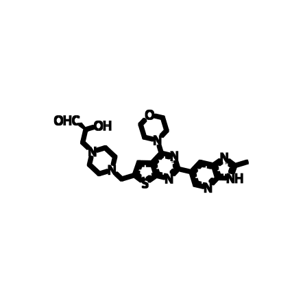 Cc1nc2cc(-c3nc(N4CCOCC4)c4cc(CN5CCN(C[C@H](O)C=O)CC5)sc4n3)cnc2[nH]1